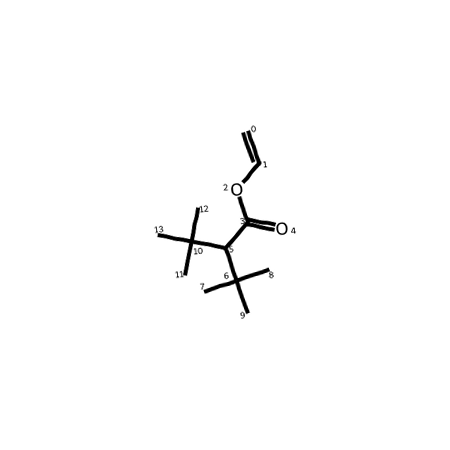 C=COC(=O)C(C(C)(C)C)C(C)(C)C